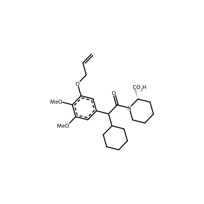 C=CCOc1cc(C(C(=O)N2CCCC[C@H]2C(=O)O)C2CCCCC2)cc(OC)c1OC